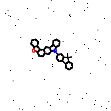 CC1(C)c2ccccc2-c2ccc(-n3c4ccccc4c4cc5c(ccc6oc7ccccc7c65)cc43)cc21